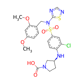 COc1ccc(CN(c2ncns2)S(=O)(=O)c2ccc(N[C@H]3CCN(C(=O)O)C3)c(Cl)c2)c(OC)c1